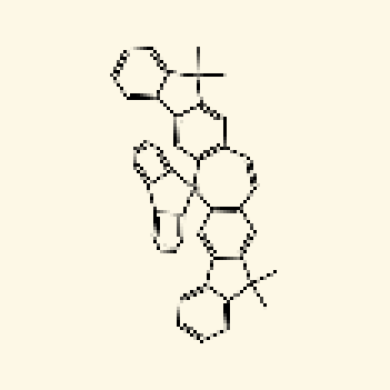 CC1(C)c2ccccc2-c2cc3c(cc21)C=Cc1cc2c(cc1[Si]31c3ccccc3-c3ccccc31)-c1ccccc1C2(C)C